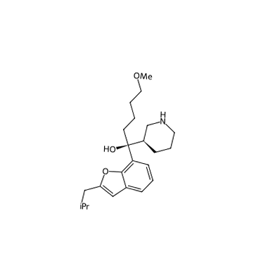 COCCCC[C@@](O)(c1cccc2cc(CC(C)C)oc12)[C@@H]1CCCNC1